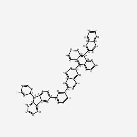 C1=CCC(n2c3ccc(-c4cccc(-c5ccc6cc(-c7c8ccccc8c(-c8ccc9ccccc9c8)c8ccccc78)ccc6c5)c4)cc3c3cccnc32)C=C1